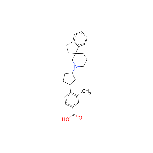 Cc1cc(C(=O)O)ccc1C1CCC(N2CCCC3(CCc4ccccc43)C2)C1